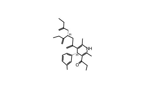 C=C(CC)C[C@H](CC(=C)C1=C(C)NC(C)=C(C(=O)CC)[C@@H]1c1cccc(C)c1)C(=C)CC